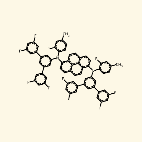 Cc1ccc(N(c2cc(-c3cc(F)cc(F)c3)cc(-c3cc(F)cc(F)c3)c2)c2ccc3ccc4c(N(c5cc(-c6cc(F)cc(F)c6)cc(-c6cc(F)cc(F)c6)c5)c5ccc(C)cc5F)ccc5ccc2c3c54)c(F)c1